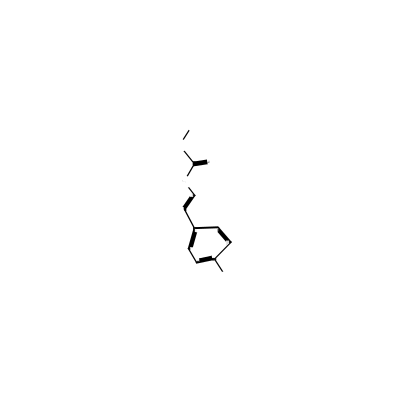 COC(=O)NC=Cc1ccc(O)cc1